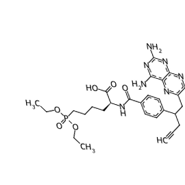 C#CCC(Cc1cnc2nc(N)nc(N)c2n1)c1ccc(C(=O)N[C@@H](CCCCP(=O)(OCC)OCC)C(=O)O)cc1